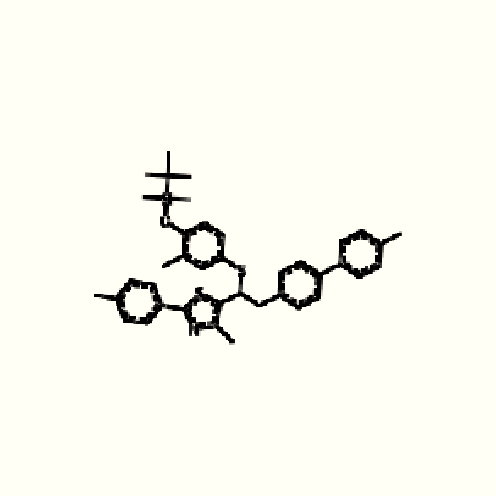 Cc1ccc(-c2ccc(CC(Sc3ccc(O[Si](C)(C)C(C)(C)C)c(C)c3)c3sc(-c4ccc(C)cc4)nc3C)cc2)cc1